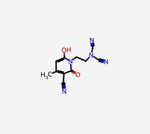 Cc1cc(O)n(CCN(C#N)C#N)c(=O)c1C#N